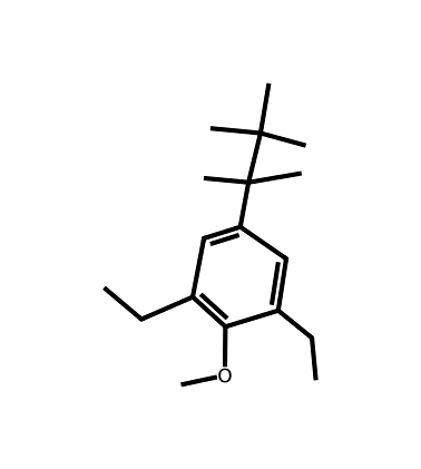 CCc1cc(C(C)(C)C(C)(C)C)cc(CC)c1OC